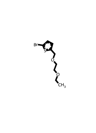 CCOCCOCc1ccc(Br)s1